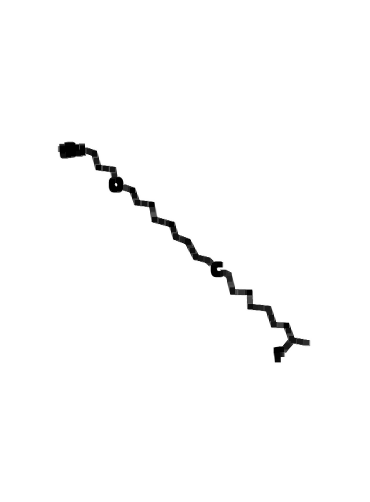 CC(F)CCCCCCCCCCCCCCCCCOCCCC(C)(C)C